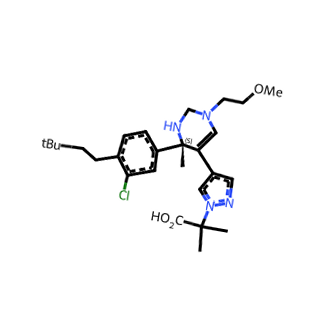 COCCN1C=C(c2cnn(C(C)(C)C(=O)O)c2)[C@](C)(c2ccc(CCC(C)(C)C)c(Cl)c2)NC1